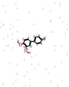 COc1[c]cc(-c2ccc(F)cc2)cc1OC